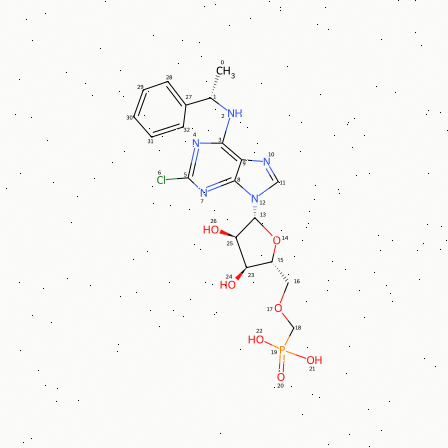 C[C@H](Nc1nc(Cl)nc2c1ncn2[C@@H]1O[C@H](COCP(=O)(O)O)[C@@H](O)[C@H]1O)c1ccccc1